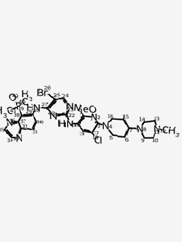 COc1nc(N2CCC(N3CCN(C)CC3)CC2)c(Cl)cc1Nc1ncc(Br)c(Nc2ccc3nccnc3c2P(C)(C)=O)n1